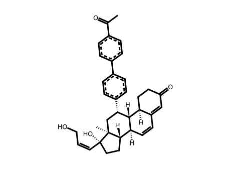 CC(=O)c1ccc(-c2ccc([C@H]3C[C@@]4(C)[C@@H](CC[C@@]4(O)/C=C\CO)[C@@H]4C=CC5=CC(=O)CC[C@@H]5[C@H]43)cc2)cc1